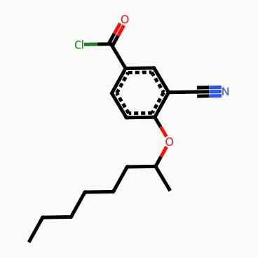 CCCCCCC(C)Oc1ccc(C(=O)Cl)cc1C#N